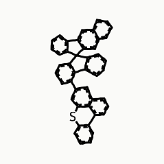 c1ccc2c(c1)Sc1cc(-c3cccc4c3-c3ccccc3C43c4ccccc4-c4cc5ccccc5cc43)cc3cccc-2c13